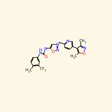 Cc1ccc(NC(=O)[N-]c2c[n+](Cc3ccc(-c4c(C)noc4C)cn3)no2)cc1C(F)(F)F